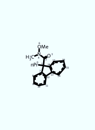 CCCC1(C(=O)N(C)OC)c2ccccc2-c2ccccc21